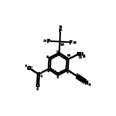 N#Cc1cc([N+](=O)[O-])cc(C(F)(F)F)c1N